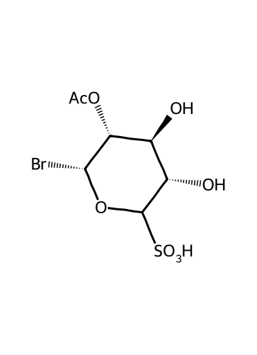 CC(=O)O[C@@H]1[C@@H](O)[C@H](O)C(S(=O)(=O)O)O[C@@H]1Br